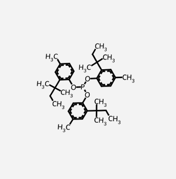 CCC(C)(C)c1cc(C)ccc1OP(Oc1ccc(C)cc1C(C)(C)CC)Oc1ccc(C)cc1C(C)(C)CC